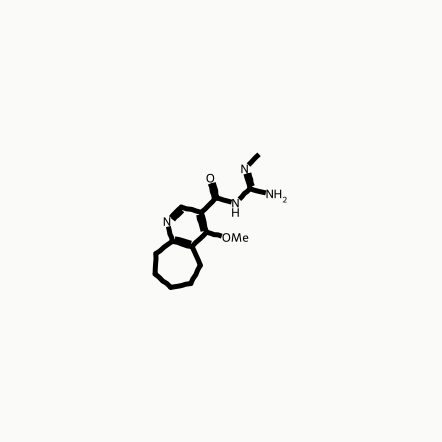 CN=C(N)NC(=O)c1cnc2c(c1OC)CCCCC2